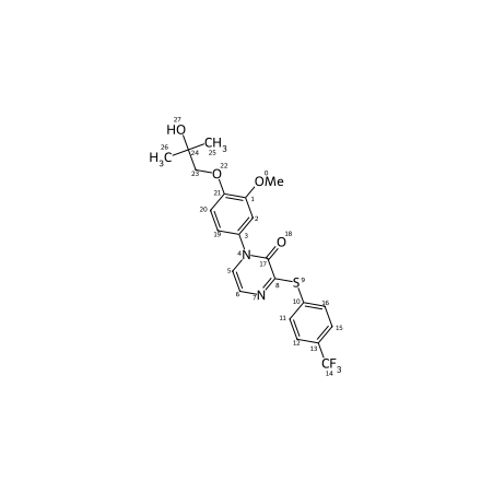 COc1cc(-n2ccnc(Sc3ccc(C(F)(F)F)cc3)c2=O)ccc1OCC(C)(C)O